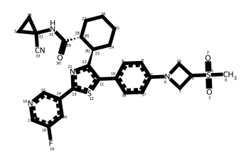 CS(=O)(=O)C1CN(c2ccc(-c3sc(-c4cncc(F)c4)nc3[C@@H]3CCCC[C@H]3C(=O)NC3(C#N)CC3)cc2)C1